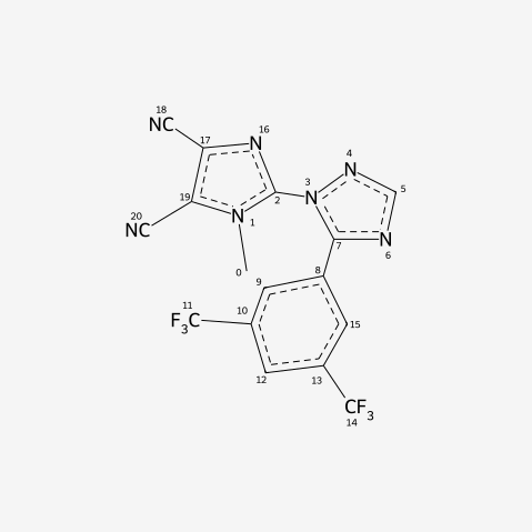 Cn1c(-n2ncnc2-c2cc(C(F)(F)F)cc(C(F)(F)F)c2)nc(C#N)c1C#N